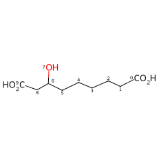 O=C(O)CCCCCC(O)CC(=O)O